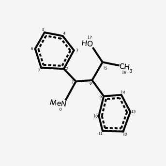 CNC(c1ccccc1)C(c1ccccc1)C(C)O